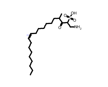 CCCCCCCC/C=C\CCCCCCC(C)C(=O)C(CN)S(=O)(=O)O